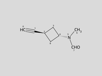 C#C[C@H]1C[C@H](N(C)C=O)C1